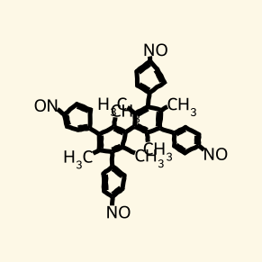 Cc1c(-c2ccc(N=O)cc2)c(C)c(-c2c(C)c(-c3ccc(N=O)cc3)c(C)c(-c3ccc(N=O)cc3)c2C)c(C)c1-c1ccc(N=O)cc1